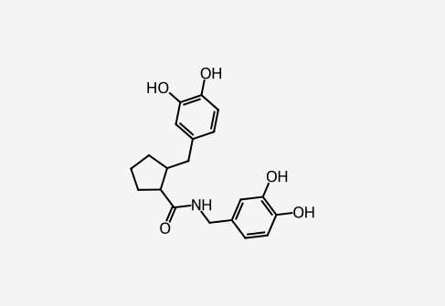 O=C(NCc1ccc(O)c(O)c1)C1CCCC1Cc1ccc(O)c(O)c1